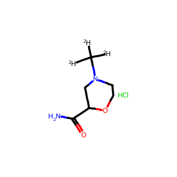 Cl.[2H]C([2H])([2H])N1CCOC(C(N)=O)C1